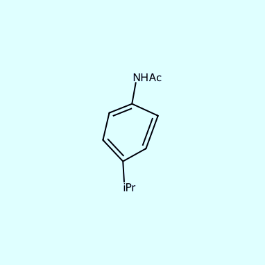 CC(=O)Nc1ccc(C(C)C)cc1